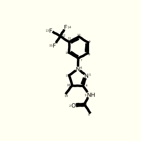 CC(=O)NC1=NN(c2cccc(C(F)(F)F)c2)CC1C